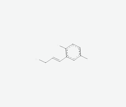 Fc1ccc(Br)cc1C=CCBr